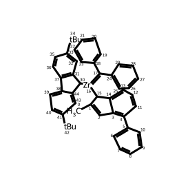 CC1=Cc2c(-c3ccccc3)cccc2[CH]1[Zr](=[C](c1ccccc1)c1ccccc1)[CH]1c2cc(C(C)(C)C)ccc2-c2ccc(C(C)(C)C)cc21